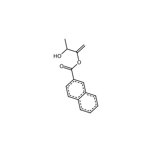 C=C(OC(=O)c1ccc2ccccc2c1)C(C)O